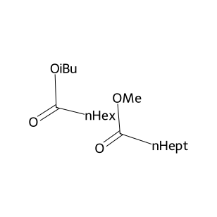 CCCCCCC(=O)OCC(C)C.CCCCCCCC(=O)OC